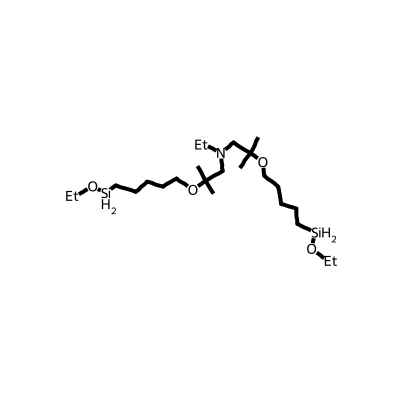 CCO[SiH2]CCCCCOC(C)(C)CN(CC)CC(C)(C)OCCCCC[SiH2]OCC